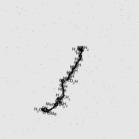 C=C1C[C@@H](C2OCCN2C(=O)OCC(C)(C)SSCCC(=O)NCCNC(=O)CCN2C(=O)CC(SC[C@@H](NC(=O)CNC(=O)CNC(=O)CNC(=O)CNC(=O)CNC(=O)CCCNC(=O)c3ccc(NCc4cnc(NN)c(C(N)=O)n4)cc3)C(=O)O)C2=O)N(C(=O)c2cc(OC)c(OCCCCCOc3cc4c(cc3OC)C(=O)N3CC(=C)C[C@@]3(C)C=N4)cc2N)C1